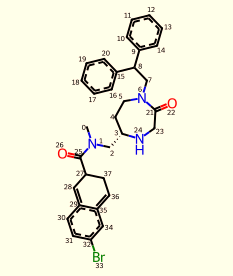 CN(C[C@@H]1CCN(CC(c2ccccc2)c2ccccc2)C(=O)CN1)C(=O)C1C=c2ccc(Br)cc2=CC1